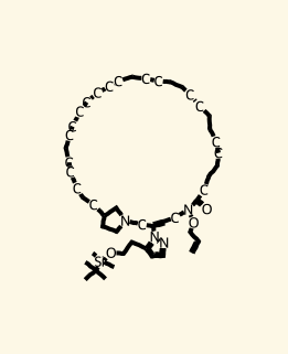 C=CCON1CC=C(n2nccc2CCO[Si](C)(C)C(C)(C)C)CN2CCC(CCCCCCCCCCCCCCCCCCCCCCCCCCCC1=O)C2